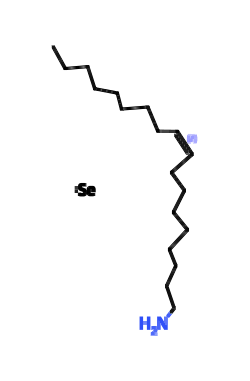 CCCCCCCC/C=C\CCCCCCCCN.[Se]